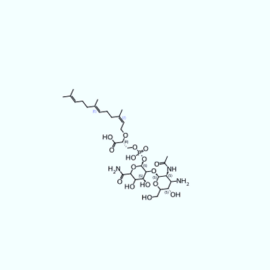 CC(=O)N[C@H]1C(N)[C@H](O)C(CO)O[C@H]1OC1[C@H](OP(=O)(O)OC[C@@H](OC/C=C(/C)CC/C=C(\C)CCC=C(C)C)C(=O)O)OC(C(N)=O)C(O)[C@@H]1O